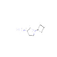 N[C@@H]1CCN(C2CCC2)C1